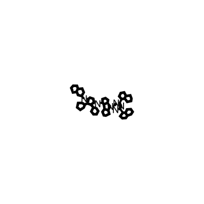 c1ccc2cc(-n3c4ccccc4c4c5c6ccccc6n(-c6cccc7c6c6ccccc6n7-c6nc(-c7cccc8ccccc78)nc(-c7cccc8ccccc78)n6)c5ccc43)ccc2c1